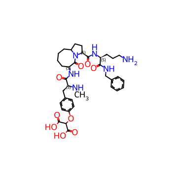 CN[C@@H](Cc1ccc(OC(C(=O)O)C(=O)O)cc1)C(=O)N[C@H]1CCCCC2CC[C@@H](C(=O)N[C@@H](CCCN)C(=O)NCc3ccccc3)N2C1=O